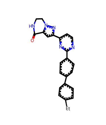 CCc1ccc(-c2ccc(-c3nccc(-c4cc5n(n4)CCNC5=O)n3)cc2)cc1